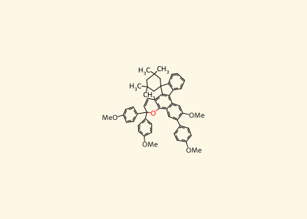 COc1ccc(-c2cc3c4c(c5c(c3cc2OC)-c2ccccc2C52CC(C)(C)CC(C)(C)C2)C=CC(c2ccc(OC)cc2)(c2ccc(OC)cc2)O4)cc1